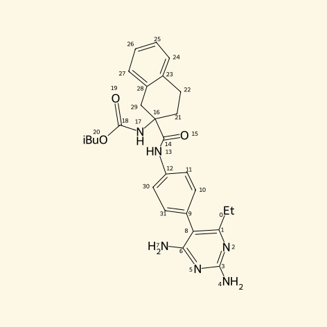 CCc1nc(N)nc(N)c1-c1ccc(NC(=O)C2(NC(=O)OCC(C)C)CCc3ccccc3C2)cc1